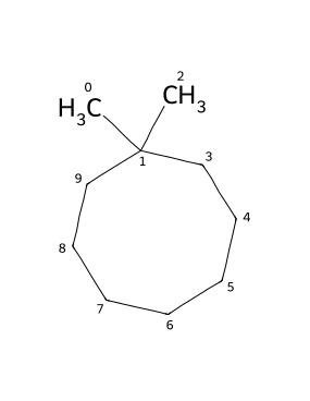 CC1(C)CCCCCCC1